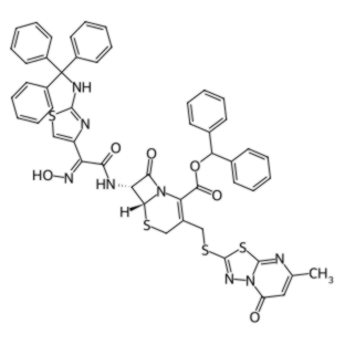 Cc1cc(=O)n2nc(SCC3=C(C(=O)OC(c4ccccc4)c4ccccc4)N4C(=O)[C@@H](NC(=O)C(=NO)c5csc(NC(c6ccccc6)(c6ccccc6)c6ccccc6)n5)[C@H]4SC3)sc2n1